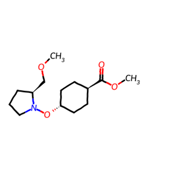 COC[C@@H]1CCCN1O[C@H]1CC[C@H](C(=O)OC)CC1